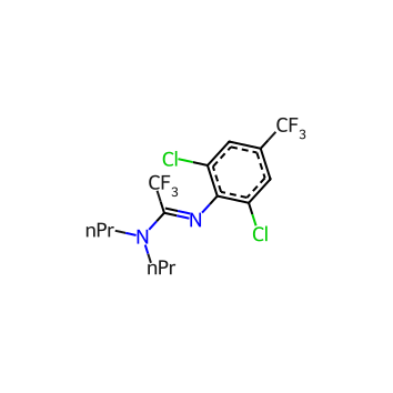 CCCN(CCC)C(=Nc1c(Cl)cc(C(F)(F)F)cc1Cl)C(F)(F)F